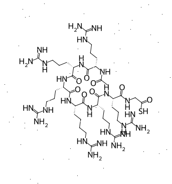 CC(=O)N[C@@H](CCCNC(=N)N)C(=O)N[C@@H](CCCNC(=N)N)C(=O)N[C@@H](CCCNC(=N)N)C(=O)N[C@@H](CCCCNC(=N)N)C(=O)N[C@@H](CCCNC(=N)N)C(=O)N[C@@H](CCCNC(=N)N)C(=O)NCC(=O)S